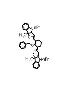 CCCN1/C(=C/C=C2\CCCC(/C=C/C3=[N+](CCC)c4ccccc4C3(C)C)=C2SCc2ccccc2)C(C)(C)c2ccccc21